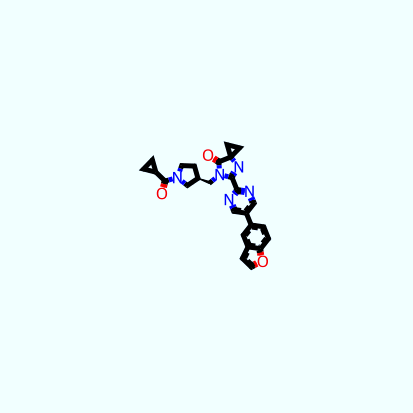 O=C(C1CC1)N1CC[C@@H](CN2C(=O)C3(CC3)N=C2c2ncc(-c3ccc4occc4c3)cn2)C1